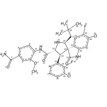 COc1cc(C(N)=O)ccc1NC(=O)[C@@H]1N[C@@H](CC(C)(C)C)[C@@]2(C(=O)Nc3cc(Cl)c(F)cc32)[C@H]1c1cccc(Cl)c1F